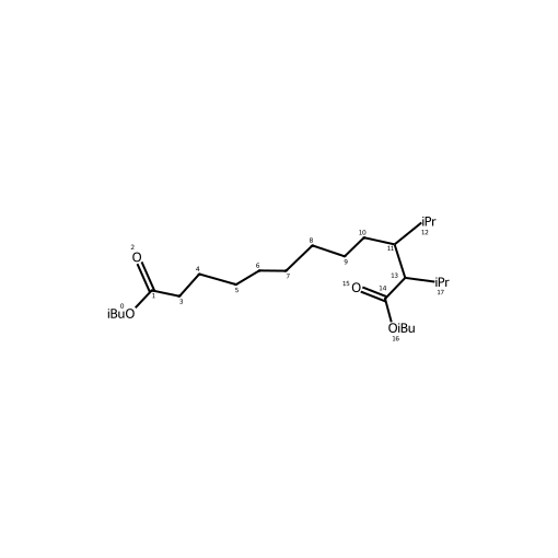 CC(C)COC(=O)CCCCCCCCC(C(C)C)C(C(=O)OCC(C)C)C(C)C